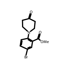 COC(=O)c1cc(Br)ccc1N1CCC(=O)CC1